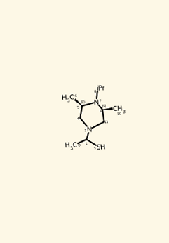 CC(S)N1C[C@@H](C)N(C(C)C)[C@@H](C)C1